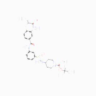 CC1Sc2ccc(C(=O)Nc3cccc([S+]([O-])NC4CCN(C(=O)OC(C)(C)C)CC4)c3)cc2NC1=O